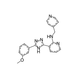 COc1cccc(-c2nnc(-c3cccnc3NCc3ccncc3)[nH]2)c1